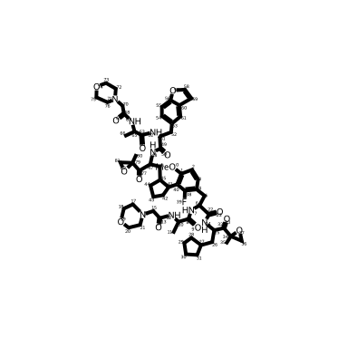 COc1ccc(CC(NC(=O)C(C)NC(=O)CN2CCOCC2)C(=O)NC(CC2CCCC2)C(=O)C2(C)CO2)c(F)c1C1CCCC1CC(NC(=O)C(Cc1ccc2occc2c1)NC(=O)C(C)NC(=O)CN1CCOCC1)C(=O)C1(C)CO1